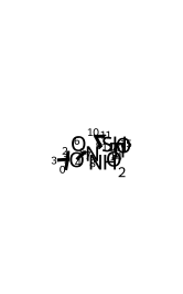 CC(C)(C)OC(=O)N(N)C1CC[SH]1[Ti](=[O])=[O]